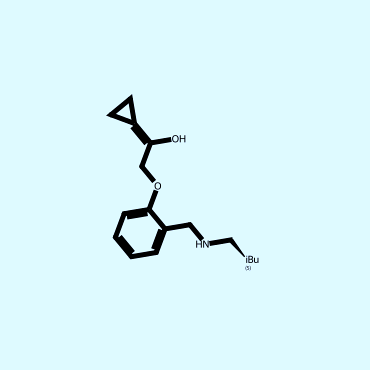 CC[C@H](C)CNCc1ccccc1OCC(O)=C1CC1